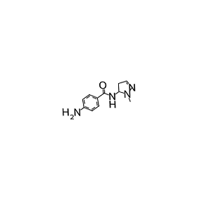 CN1N=CCC1NC(=O)c1ccc(N)cc1